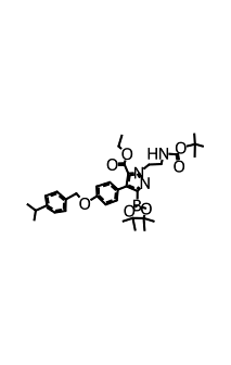 CCOC(=O)c1c(-c2ccc(OCc3ccc(C(C)C)cc3)cc2)c(B2OC(C)(C)C(C)(C)O2)nn1CCNC(=O)OC(C)(C)C